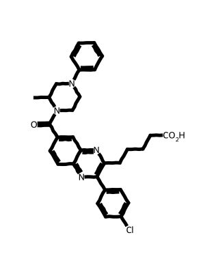 CC1CN(c2ccccc2)CCN1C(=O)c1ccc2nc(-c3ccc(Cl)cc3)c(CCCCC(=O)O)nc2c1